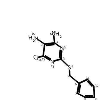 Nc1nc(SCc2ccccc2)nc(Cl)c1N